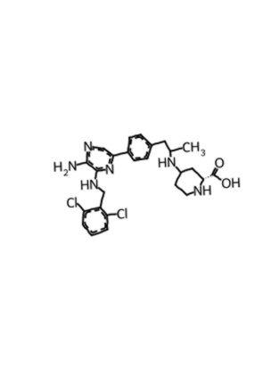 CC(Cc1ccc(-c2cnc(N)c(NCc3c(Cl)cccc3Cl)n2)cc1)NC1CCN[C@@H](C(=O)O)C1